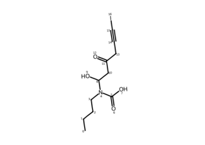 CCCCN(C(=O)O)C(O)CC(=O)CC#CI